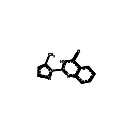 Cc1ccnn1-c1nc2ccccc2c(=O)[nH]1